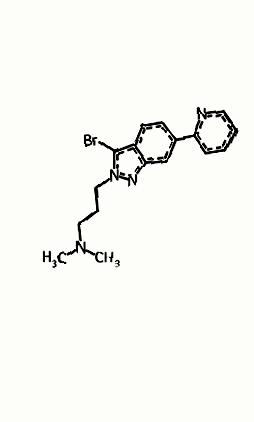 CN(C)CCCn1nc2cc(-c3ccccn3)ccc2c1Br